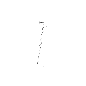 CCCCCCCCCCCCCCCCCCCCCCC=C(Cl)C(=O)Cl